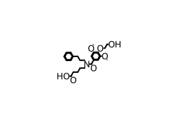 COc1cc(C(=O)N(CCCCC(=O)O)CCCc2ccccc2)cc(OC)c1OCCO